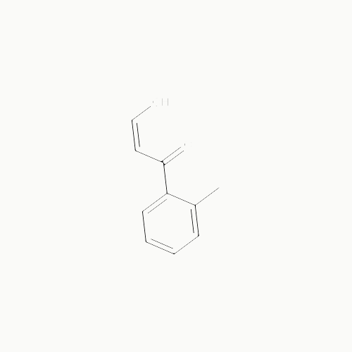 Cc1ccccc1C(=O)/C=C\O